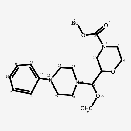 CC(C)(C)OC(=O)N1CCOC(C(OC=O)N2CCN(c3ccccc3)CC2)C1